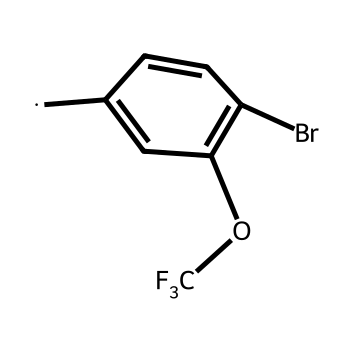 [CH2]c1ccc(Br)c(OC(F)(F)F)c1